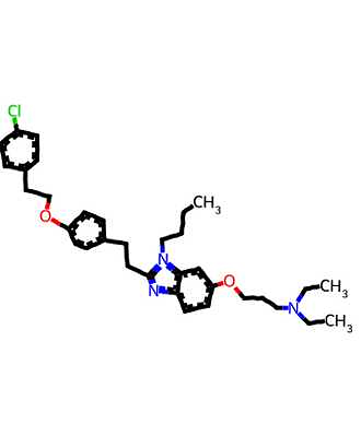 CCCCn1c(CCc2ccc(OCCc3ccc(Cl)cc3)cc2)nc2ccc(OCCCN(CC)CC)cc21